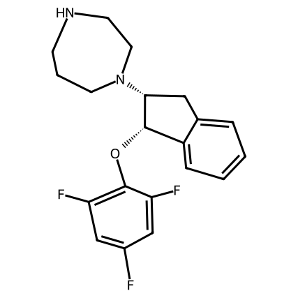 Fc1cc(F)c(O[C@H]2c3ccccc3C[C@H]2N2CCCNCC2)c(F)c1